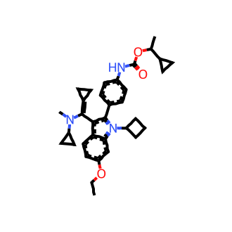 CCOc1ccc2c(C(=C3CC3)N(C)C3CC3)c(-c3ccc(NC(=O)OC(C)C4CC4)cc3)n(C3CCC3)c2c1